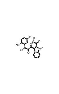 CCN(C(=O)c1nn(C(C)C)c(=O)c2c1c1ccccc1n2C)c1cc(Cl)ccc1C#N